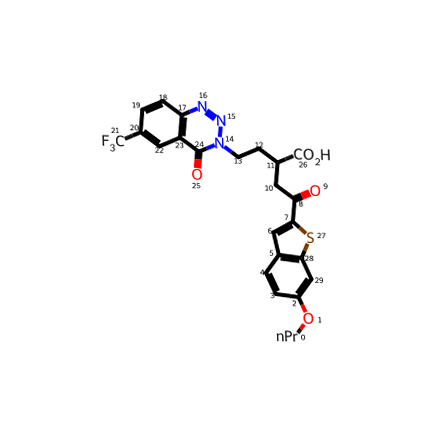 CCCOc1ccc2cc(C(=O)CC(CCn3nnc4ccc(C(F)(F)F)cc4c3=O)C(=O)O)sc2c1